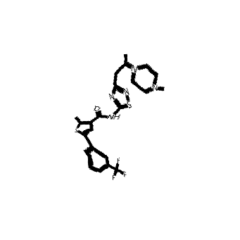 Cc1sc(-c2cccc(C(F)(F)F)c2)cc1C(=O)Nc1nc(CC(C)N2CCN(C)CC2)ns1